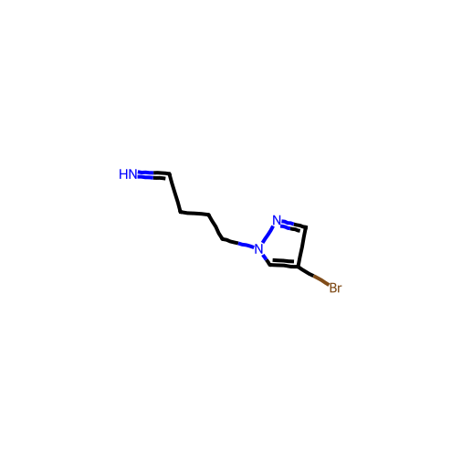 N=CCCCn1cc(Br)cn1